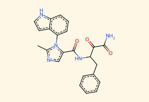 Cc1ncc(C(=O)NC(Cc2ccccc2)C(=O)C(N)=O)n1-c1cccc2[nH]ccc12